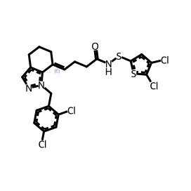 O=C(CC/C=C1\CCCc2cnn(Cc3ccc(Cl)cc3Cl)c21)NSc1cc(Cl)c(Cl)s1